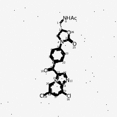 CC(=O)NC[C@H]1CN(c2ccc(C(=O)c3cnc4c(Cl)cc(Cl)cn34)cc2)C(=O)O1